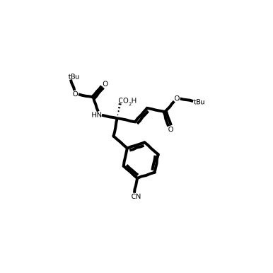 CC(C)(C)OC(=O)/C=C/[C@@](Cc1cccc(C#N)c1)(NC(=O)OC(C)(C)C)C(=O)O